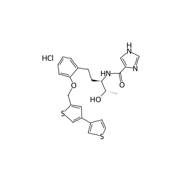 C[C@H](O)[C@@H](CCc1ccccc1OCc1cc(-c2ccsc2)cs1)NC(=O)c1c[nH]cn1.Cl